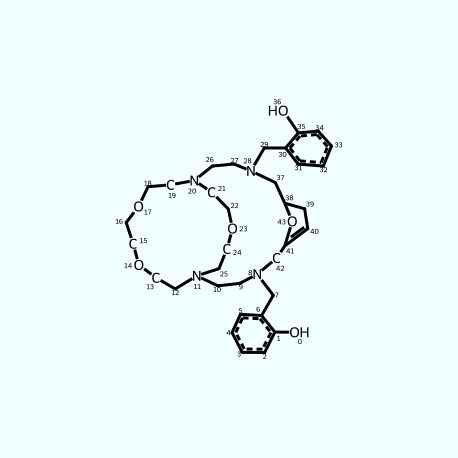 Oc1ccccc1CN1CCN2CCOCCOCCN(CCOCC2)CCN(Cc2ccccc2O)CC2CC=C(C1)O2